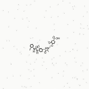 COc1cc(CC(=O)C(C)NCCOc2ccc(C(=O)O)cc2OC)ccc1NC(=O)Nc1ccccc1F